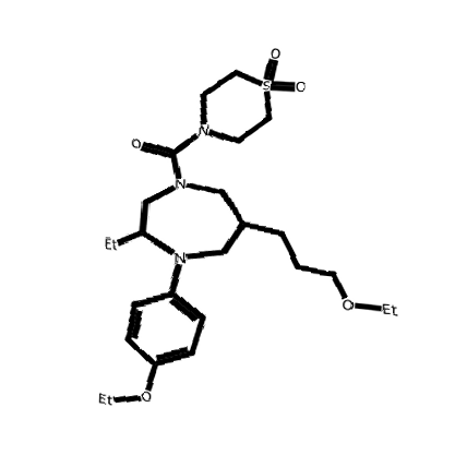 CCOCCCC1CN(C(=O)N2CCS(=O)(=O)CC2)CC(CC)N(c2ccc(OCC)cc2)C1